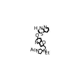 C=C(Oc1cnc2cc(CN(CC)C3CCN(C(C)=O)C3)oc2c1)Sc1cccnc1N